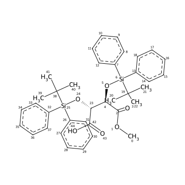 COC(=O)[C@H](O[Si](c1ccccc1)(c1ccccc1)C(C)(C)C)[C@@H](O[Si](c1ccccc1)(c1ccccc1)C(C)(C)C)C(=O)O